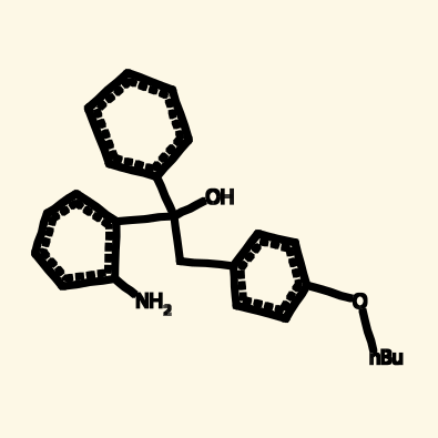 CCCCOc1ccc(CC(O)(c2ccccc2)c2ccccc2N)cc1